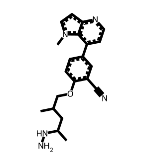 CC(COc1ccc(-c2ccnc3ccn(C)c23)cc1C#N)CC(C)NN